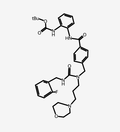 CC(C)(C)OC(=O)Nc1ccccc1NC(=O)c1ccc(CN(CCCN2CCOCC2)C(=O)NCc2ccccc2F)cc1